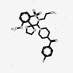 CCCN1C(N2CCC(C(=O)c3ccc(F)cc3)CC2)C2(OCCO2)c2c(OC)cccc2S1(=O)=O